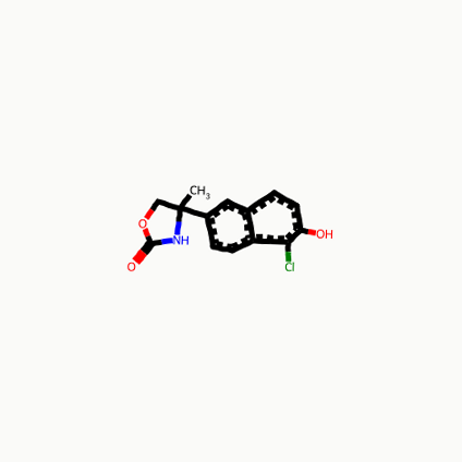 CC1(c2ccc3c(Cl)c(O)ccc3c2)COC(=O)N1